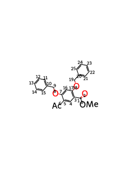 COC(=O)c1cc(C(C)=O)c(OCc2ccccc2)cc1OCc1ccccc1